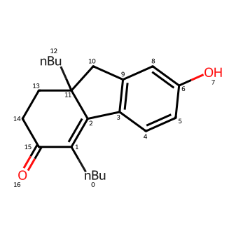 CCCCC1=C2c3ccc(O)cc3CC2(CCCC)CCC1=O